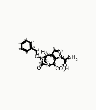 NC(=O)n1ncc2c1C(C(=O)O)N1C[C@H]2N(OCc2ccccc2)C1=O